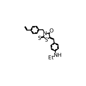 C=Cc1ccc(CN2C(=O)C(=Cc3ccc(NCC)cc3)SC2=S)cc1